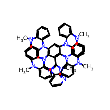 CN1c2ccccc2N(c2cc(N3c4ccccc4N(C)c4ccccc43)c(N3c4ccccc4N(C)c4ccccc43)c(-c3nc4cccnc4n3C)c2N2c3ccccc3N(C)c3ccccc32)c2ccccc21